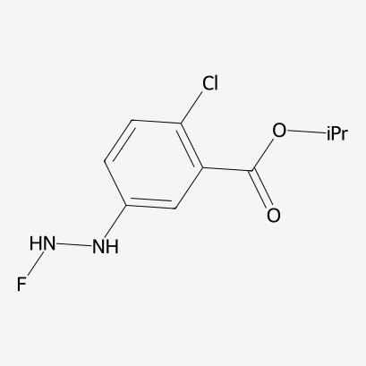 CC(C)OC(=O)c1cc(NNF)ccc1Cl